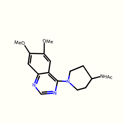 COc1cc2ncnc(N3CCC(NC(C)=O)CC3)c2cc1OC